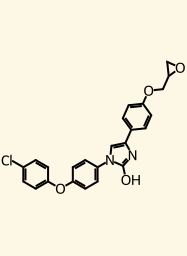 Oc1nc(-c2ccc(OCC3CO3)cc2)cn1-c1ccc(Oc2ccc(Cl)cc2)cc1